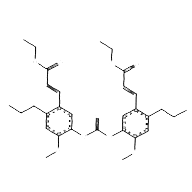 CCCc1cc(OC)c(OC(=O)Oc2cc(/C=C/C(=O)OCC)c(CCC)cc2OC)cc1/C=C/C(=O)OCC